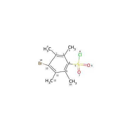 Cc1c(C)c(S(=O)(=O)Cl)c(C)c(C)c1Br